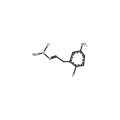 CC(C)(C)[S+]([O-])N=CCc1cc([N+](=O)[O-])ccc1F